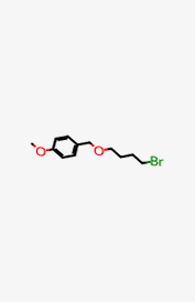 COc1ccc(COCCCCBr)cc1